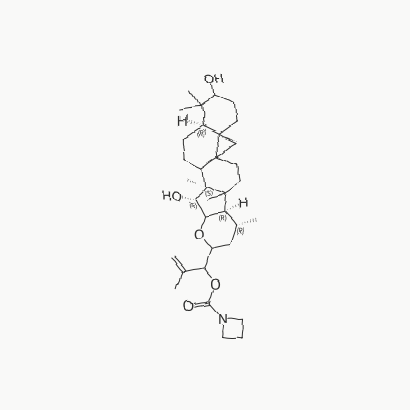 C=C(C)C(OC(=O)N1CCC1)C1C[C@@H](C)[C@H]2C(O1)[C@H](O)[C@@]1(C)C3CC[C@H]4C(C)(C)C(O)CCC45CC35CCC21C